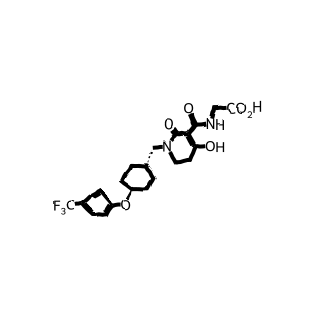 O=C(O)CNC(=O)C1=C(O)CCN(C[C@H]2CC[C@H](Oc3ccc(C(F)(F)F)cc3)CC2)C1=O